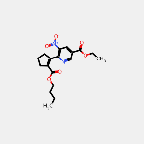 CCCCOC(=O)C1=C(c2ncc(C(=O)OCC)cc2[N+](=O)[O-])CCC1